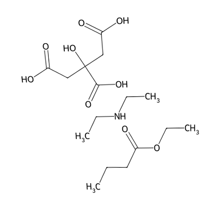 CCCC(=O)OCC.CCNCC.O=C(O)CC(O)(CC(=O)O)C(=O)O